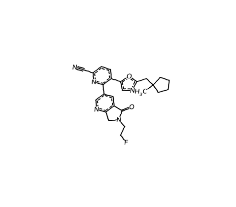 CC1(Cc2ncc(-c3ccc(C#N)nc3-c3cnc4c(c3)C(=O)N(CCF)C4)o2)CCCC1